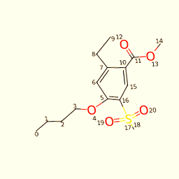 CCCCOc1cc(CC)c(C(=O)OC)cc1S(C)(=O)=O